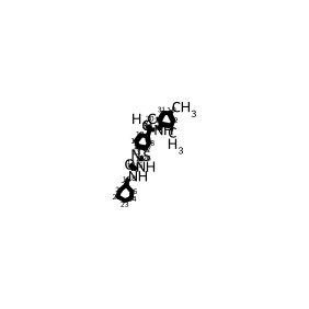 Cc1cc(C)c(NC(=O)c2ccc3nc(NC(=O)NCC4CCCCC4)sc3c2)c(C)c1